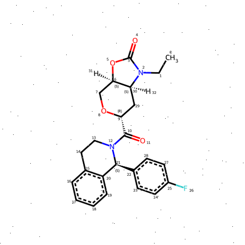 CCN1C(=O)O[C@@H]2CO[C@@H](C(=O)N3CCc4ccccc4[C@@H]3c3ccc(F)cc3)C[C@@H]21